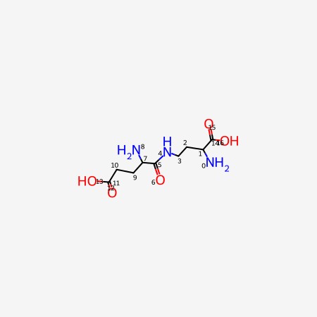 NC(CCNC(=O)C(N)CCC(=O)O)C(=O)O